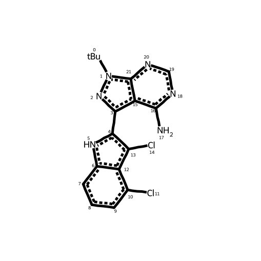 CC(C)(C)n1nc(-c2[nH]c3cccc(Cl)c3c2Cl)c2c(N)ncnc21